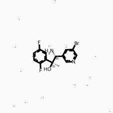 C[C@](O)(c1cc(F)ccc1F)[C@H](N)c1cncc(Br)c1